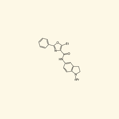 CCCN1CCc2cc(NC(=O)c3nc(-c4ccccc4)oc3CC)ccc21